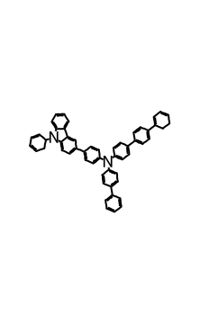 C1=CCCC(c2ccc(-c3ccc(N(c4ccc(-c5ccccc5)cc4)c4ccc(-c5ccc6c(c5)c5ccccc5n6C5C=CC=CC5)cc4)cc3)cc2)=C1